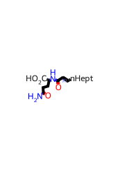 CCCCCCC/C=C/C(=O)NC(CCC(N)=O)C(=O)O